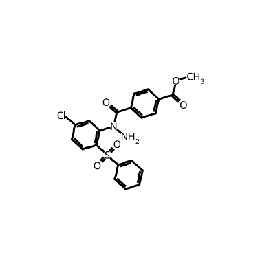 COC(=O)c1ccc(C(=O)N(N)c2cc(Cl)ccc2S(=O)(=O)c2ccccc2)cc1